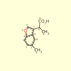 Cc1ccc2occ(C(C)C(=O)O)c2c1